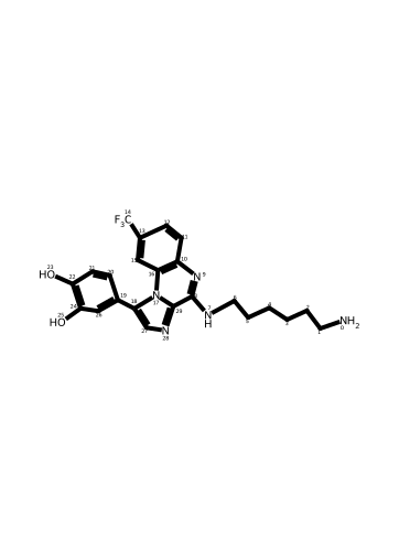 NCCCCCCNc1nc2ccc(C(F)(F)F)cc2n2c(-c3ccc(O)c(O)c3)cnc12